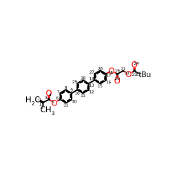 C=C(C)C(=O)Oc1ccc(-c2ccc(-c3ccc(OC(=O)COC(=O)C(C)(C)C)cc3)cc2)cc1